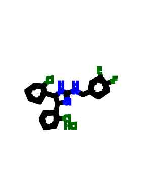 Cl.Fc1ccc(CNC2=NC(c3ccccc3Cl)C(c3ccccc3Cl)N2)cc1F